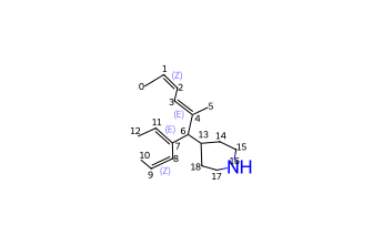 C/C=C\C=C(/C)C(C(/C=C\C)=C/C)C1CCNCC1